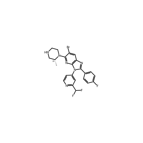 C[C@@H]1CNCCN1c1nc2c(cc1Br)nc(-c1ccc(F)cc1)n2-c1ccnc(C(F)F)c1